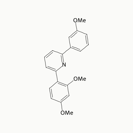 COc1cccc(-c2cccc(-c3ccc(OC)cc3OC)n2)c1